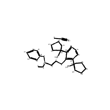 CC#N.CCN(CCCc1c(C2(F)CCCC2)cccc1C1(F)CCCC1)Cc1ccccc1